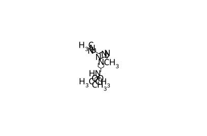 CC1CC(CNC(=O)OC(C)(C)C)CCN1c1nc(-c2cnn(C)c2)cn2nccc12